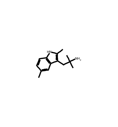 Cc1ccc2[nH]c(C)c(CC(C)(C)N)c2c1